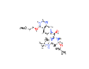 COCCOc1ncnc2c1CCN(C(=O)c1nc(NC3(C)CC3)c3cc(C)oc3n1)C2